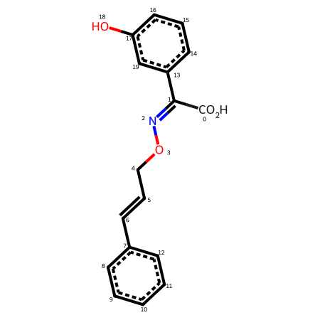 O=C(O)/C(=N\OC/C=C/c1ccccc1)c1cccc(O)c1